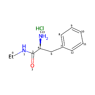 CCNC(=O)[C@@H](N)Cc1ccccc1.Cl